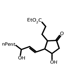 CCCCCC(O)C=CC1C(O)CC(=O)C1CCC(=O)OCC